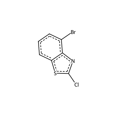 Clc1nc2c(Br)cccc2s1